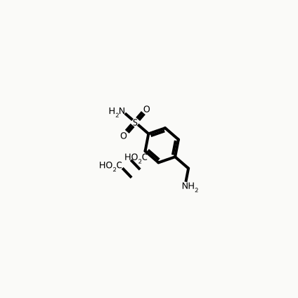 CC(=O)O.CC(=O)O.NCc1ccc(S(N)(=O)=O)cc1